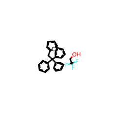 OCC(F)(F)F.c1ccc(CC(c2ccccc2)(c2ccccc2)c2ccccc2)cc1